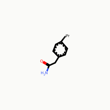 CC(C)c1ccc(CC(N)=O)cc1